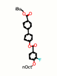 CCCCCCCCOc1ccc(C(=O)Oc2ccc(-c3ccc(C(=O)OCC(C)CC)cc3)cc2)cc1F